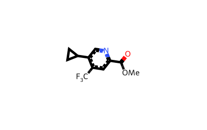 COC(=O)c1cc(C(F)(F)F)c(C2CC2)cn1